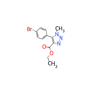 CCOC(=O)c1nnn(C)c1-c1ccc(Br)cc1